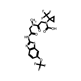 CN(CC(=O)Nc1nc2ccc(OC(F)(F)F)cc2s1)C(=O)CN(C(=O)O)C1(C(F)(F)F)CC1